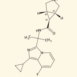 CC(C)(NC(=O)[C@H]1[C@@H]2CNC[C@@H]21)c1nc(C2CC2)c2c(F)cccn12